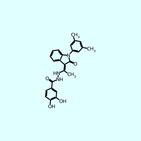 CC(NNC(=O)c1ccc(O)c(O)c1)=C1C(=O)N(c2cc(C)cc(C)c2)c2ccccc21